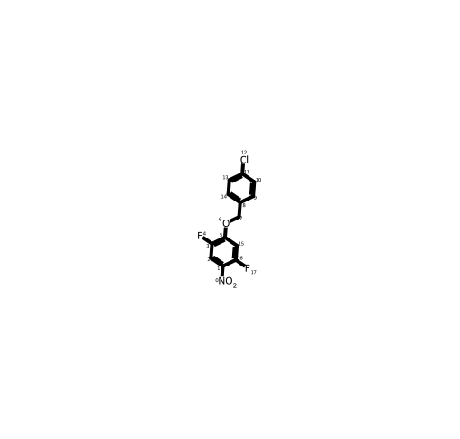 O=[N+]([O-])c1cc(F)c(OCc2ccc(Cl)cc2)cc1F